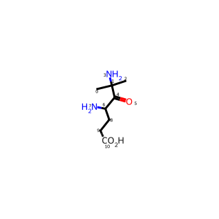 CC(C)(N)C(=O)C(N)CCC(=O)O